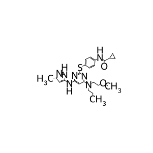 CCCN(CCOC)c1cc(Nc2cc(C)n[nH]2)nc(Sc2ccc(NC(=O)C3CC3)cc2)n1